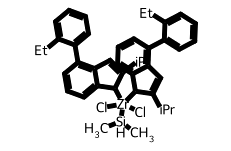 CCc1ccccc1-c1cccc2c1C=C(C(C)C)[CH]2[Zr]([Cl])([Cl])([CH]1C(C(C)C)=Cc2c(-c3ccccc3CC)cccc21)[SiH](C)C